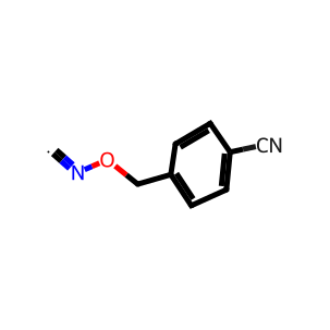 [CH]=NOCc1ccc(C#N)cc1